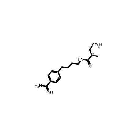 C[C@H](CC(=O)O)C(=O)NCCCCc1ccc(C(=N)N)cc1